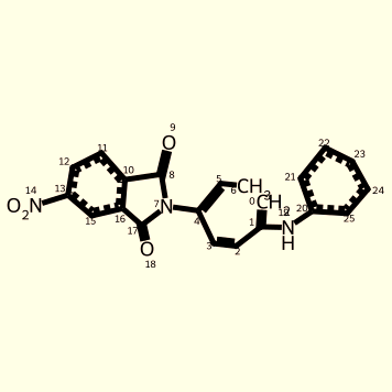 C=C(/C=C\C(=C/C)N1C(=O)c2ccc([N+](=O)[O-])cc2C1=O)Nc1ccccc1